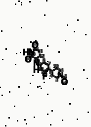 O=CN1CCC(c2ccc(NC3CCC(=O)NC3=O)cc2F)CC1